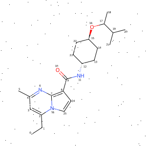 CCc1cc(C)nc2c(C(=O)N[C@H]3CC[C@H](OC(C)C(C)C)CC3)ccn12